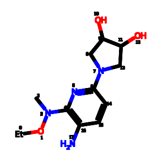 CCON(C)c1nc(N2CC(O)C(O)C2)ccc1N